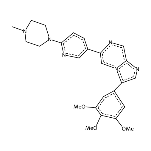 COc1cc(-c2cnc3cnc(-c4ccc(N5CCN(C)CC5)nc4)cn23)cc(OC)c1OC